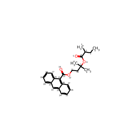 CCC(C)C(=O)OC(C)(C)CCOC(=O)c1c2ccccc2cc2ccccc12